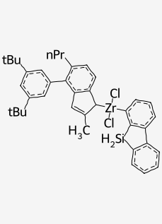 CCCc1ccc2c(c1-c1cc(C(C)(C)C)cc(C(C)(C)C)c1)C=C(C)[CH]2[Zr]([Cl])([Cl])[c]1cccc2c1[SiH2]c1ccccc1-2